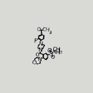 CNS(=O)(=O)c1ccc(N2CCOCC2)c(C(=O)N2CCN(c3ccc(C(C)=O)cc3F)CC2)c1